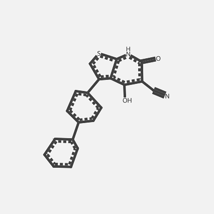 N#Cc1c(O)c2c(-c3ccc(-c4[c]cccc4)cc3)csc2[nH]c1=O